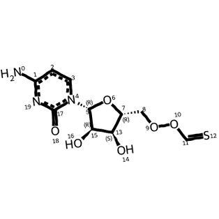 Nc1ccn([C@@H]2O[C@H](COOC=S)[C@@H](O)[C@H]2O)c(=O)n1